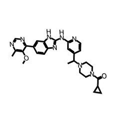 COc1c(C)ncnc1-c1ccc2nc(Nc3cc(C(C)N4CCN(C(=O)C5CC5)CC4)ccn3)[nH]c2c1